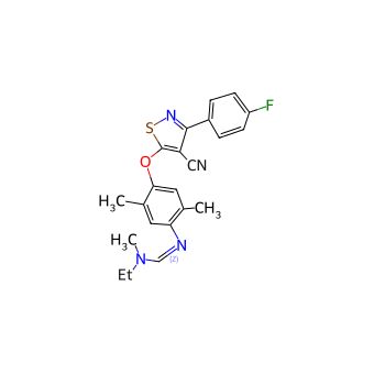 CCN(C)/C=N\c1cc(C)c(Oc2snc(-c3ccc(F)cc3)c2C#N)cc1C